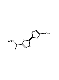 CCCCCCCCCCC1=CS/C(=C2/SC=C(C(C)CCCCCCCC)S2)S1